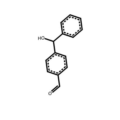 O=Cc1ccc(C(O)c2ccccc2)cc1